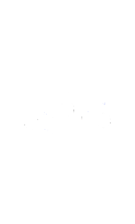 Nc1ccccc1NC(=O)c1cc(O)cc(C(=O)Nc2ccccc2N)c1